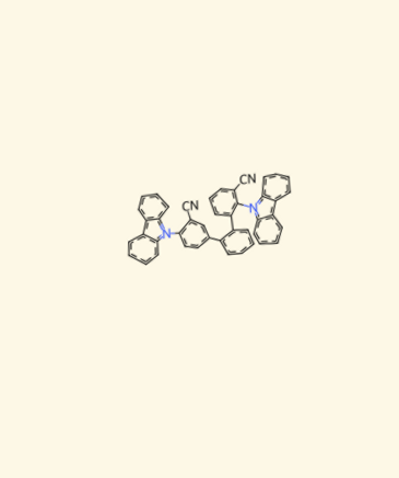 N#Cc1cc(-c2ccccc2-c2cccc(C#N)c2-n2c3ccccc3c3ccccc32)ccc1-n1c2ccccc2c2ccccc21